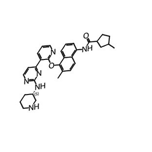 Cc1ccc2c(NC(=O)C3CCC(C)C3)cccc2c1Oc1ncccc1-c1ccnc(N[C@H]2CCCNC2)n1